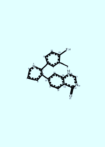 Cc1cc(-c2ncccc2-c2ccc3c(=O)nc[nH]c3c2)ccc1F